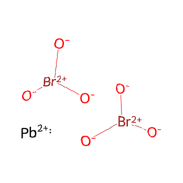 [O-][Br+2]([O-])[O-].[O-][Br+2]([O-])[O-].[Pb+2]